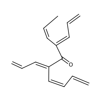 C=C/C=C\C(=C/C=C)C(=O)C(/C=C\C)=C/C=C